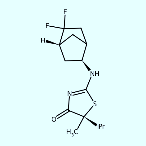 CC(C)[C@]1(C)SC(N[C@H]2C[C@H]3CC2CC3(F)F)=NC1=O